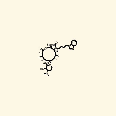 CC[C@H]1OC(=O)[C@H](C)C(=O)[C@H](C)[C@@H](OC2O[C@H](C)C[C@H](N(C)C)[C@H]2O)[C@@](C)(OC)C[C@@H](C)C(=O)[C@H](C)[C@@H]2[C@@H]1OC(=O)N2CCCCn1cnc2ncccc21